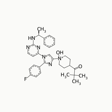 C[C@H](Nc1nccc(-n2cc([N+]3(O)CCC(C(=O)C(C)(C)C)CC3)nc2-c2ccc(F)cc2)n1)c1ccccc1